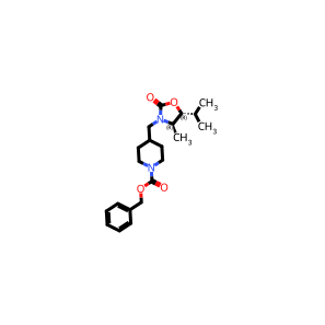 CC(C)[C@H]1OC(=O)N(CC2CCN(C(=O)OCc3ccccc3)CC2)[C@@H]1C